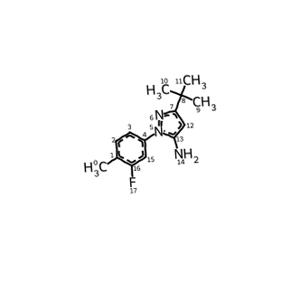 Cc1ccc(-n2nc(C(C)(C)C)cc2N)cc1F